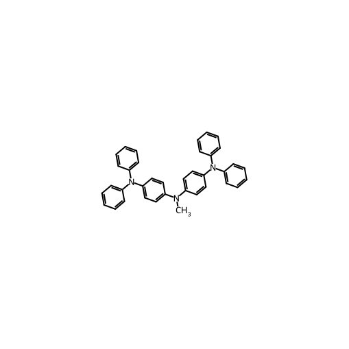 CN(c1ccc(N(c2ccccc2)c2ccccc2)cc1)c1ccc(N(c2ccccc2)c2ccccc2)cc1